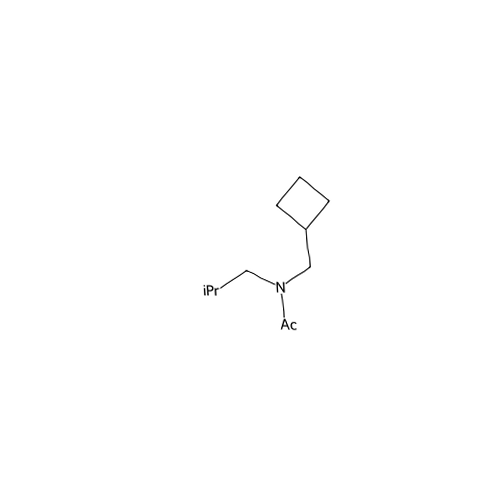 CC(=O)N(CC(C)C)CC1CCC1